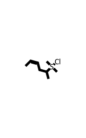 C/C=C\CC(C)S(C)(C)Cl